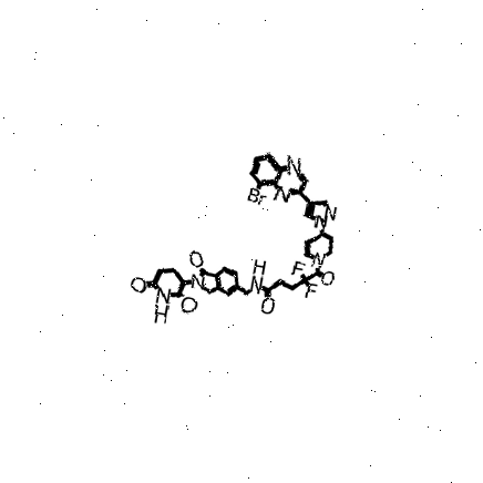 O=C(CCC(F)(F)C(=O)N1CCC(n2cc(-c3cnc4cccc(Br)c4n3)cn2)CC1)NCc1ccc2c(c1)CN(C1CCC(=O)NC1=O)C2=O